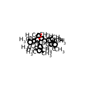 C/C=C(\C=C/CC(C)(C)C)C(C)C1c2cc(C)cc3c2B(c2cc4c(cc2N3c2cc3c(cc2-c2ccccc2C)C(C)(C)CCC3(C)C)C(C)(C)CCC4(C)C)C2Sc3cc4c(cc3C21)C(C)(C)CCC4(C)C